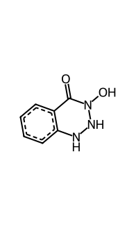 O=C1c2ccccc2NNN1O